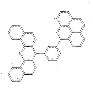 c1cc(-c2c3ccc4ccccc4c3nc3c2ccc2ccccc23)cc(-c2cc3cccc4ccc5cccc2c5c43)c1